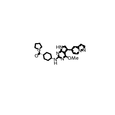 COc1nc(N[C@H]2CC[C@@H](C(=O)N3CCCC3)CC2)nc2[nH]cc(-c3ccn4nccc4c3)c12